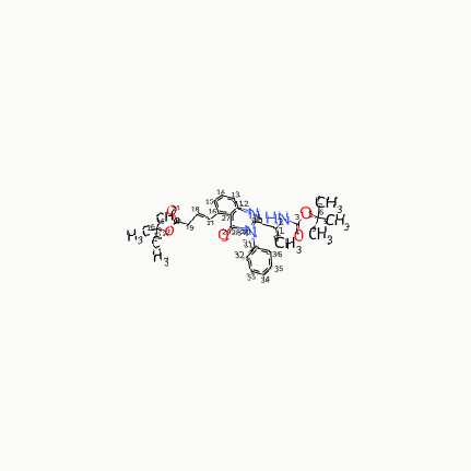 C[C@H](NC(=O)OC(C)(C)C)c1nc2cccc(C=CCC(=O)OC(C)(C)C)c2c(=O)n1-c1ccccc1